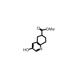 COC(=O)C1CCc2ncc(O)cc2C1